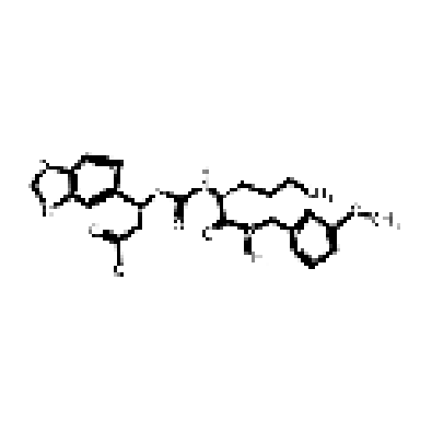 CCCC[C@H](NC(=O)N[C@@H](CC(=O)O)c1ccc2c(c1)OCO2)C(=O)N(C)Cc1cccc(OC)c1